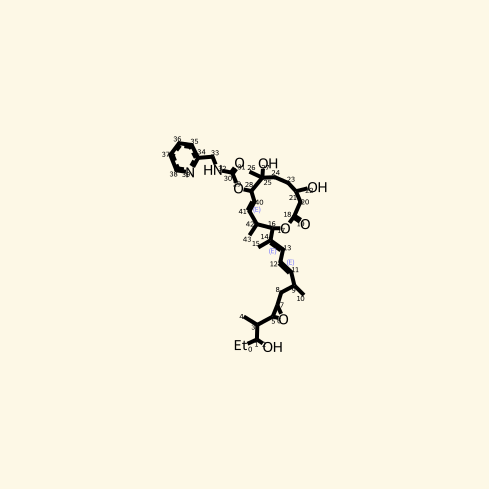 CCC(O)C(C)C1OC1CC(C)/C=C/C=C(\C)C1OC(=O)CC(O)CCC(C)(O)C(OC(=O)NCc2ccccn2)/C=C/C1C